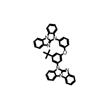 CC(C)(C)c1cc(Oc2cccc(-n3c4ccccc4n4c5ccccc5nc34)c2)cc(-n2c3ccccc3n3c4ccccc4nc23)c1